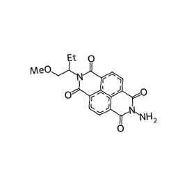 CCC(COC)N1C(=O)c2ccc3c4c(ccc(c24)C1=O)C(=O)N(N)C3=O